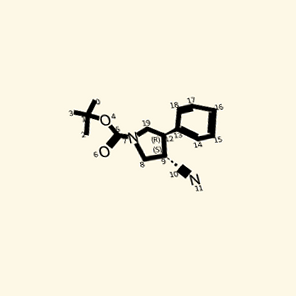 CC(C)(C)OC(=O)N1C[C@@H](C#N)[C@H](c2ccccc2)C1